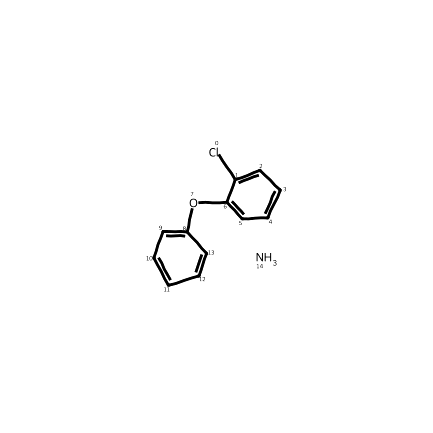 Clc1ccccc1Oc1ccccc1.N